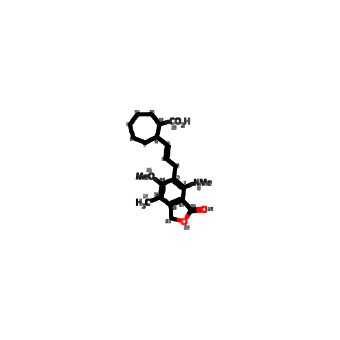 CNc1c(CC=CC2CCCCCC2C(=O)O)c(OC)c(C)c2c1C(=O)OC2